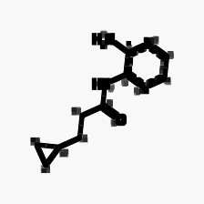 Nc1nccnc1NC(=O)CCC1CC1